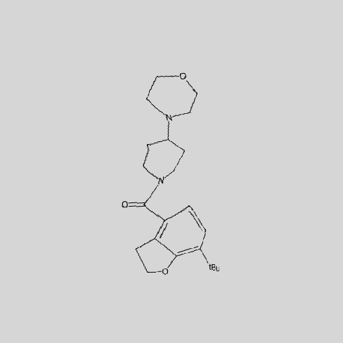 CC(C)(C)c1ccc(C(=O)N2CCC(N3CCOCC3)CC2)c2c1OCC2